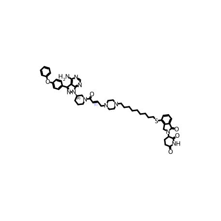 Nc1ncnc2c1c(-c1ccc(Oc3ccccc3)cc1)nn2[C@@H]1CCCN(C(=O)/C=C/CN2CCN(CCCCCCCCCSc3cccc4c3CN(C3CCC(=O)NC3=O)C4=O)CC2)C1